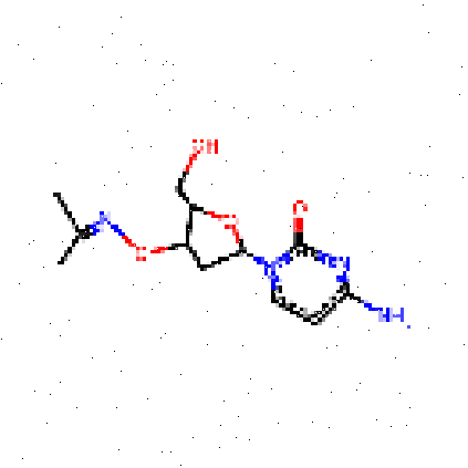 CC(C)=NOC1C[C@H](n2ccc(N)nc2=O)O[C@@H]1CO